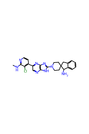 CNc1nccc(-c2cnc3[nH]c(N4CCC5(CC4)Cc4ccccc4C5N)nc3n2)c1Cl